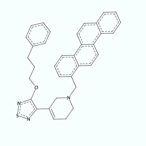 C1=C(c2nsnc2OCCCc2ccccc2)CN(Cc2cccc3c2ccc2c4ccccc4ccc32)CC1